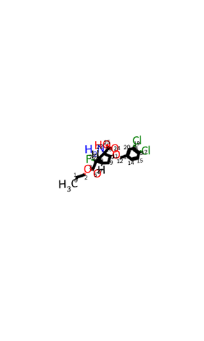 CCCOC(=O)[C@@]1(F)[C@@H]2C[C@@H](OCc3ccc(Cl)c(Cl)c3)[C@@](N)(C(=O)O)[C@@H]21